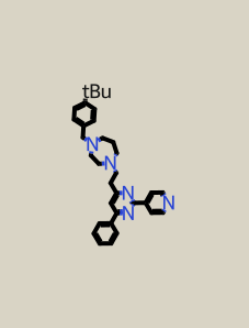 CC(C)(C)c1ccc(CN2CCCN(CCc3cc(-c4ccccc4)nc(-c4ccncc4)n3)CC2)cc1